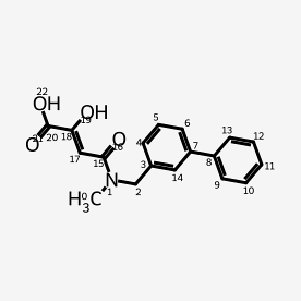 CN(Cc1cccc(-c2ccccc2)c1)C(=O)C=C(O)C(=O)O